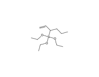 C=CC(CCC)[Si](OCC)(OCC)OCC